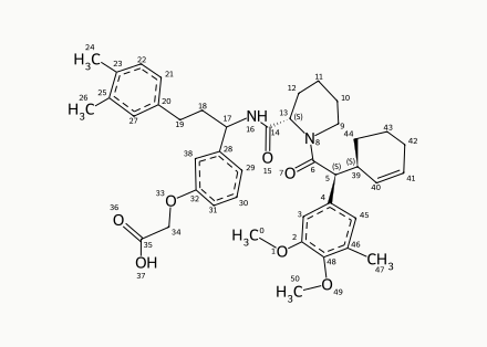 COc1cc([C@@H](C(=O)N2CCCC[C@H]2C(=O)NC(CCc2ccc(C)c(C)c2)c2cccc(OCC(=O)O)c2)[C@@H]2C=CCCC2)cc(C)c1OC